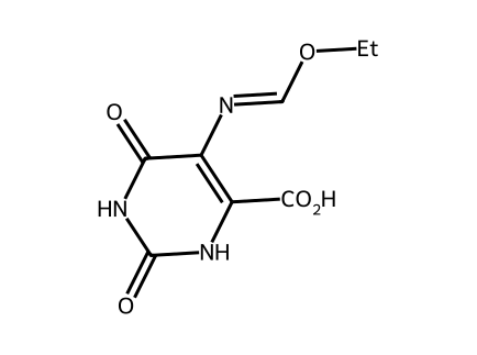 CCOC=Nc1c(C(=O)O)[nH]c(=O)[nH]c1=O